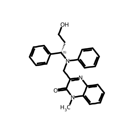 Cn1c(=O)c(CN(c2ccccc2)[C@@H](CCO)c2ccccc2)nc2ccccc21